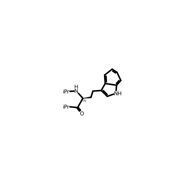 CC(C)N[C@@H](CCc1c[nH]c2ccccc12)C(=O)C(C)C